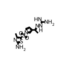 CC(=NNC(=N)N)c1ccn(S(=O)(=O)c2sc(N)nc2C)c1